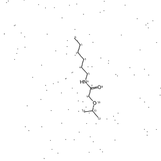 CCCCCCNC(=O)COC(C)C